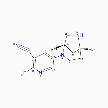 N#Cc1cc(N2CC[C@@H]3C[C@H]2CN3)cnc1F